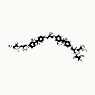 C=C(C)C(=O)OCC(O)COc1ccc(C(C)(C)c2ccc(OCC(O)COc3ccc(C(C)(C)c4ccc(OCC(COC(=O)C(=C)C)OC(=O)C(=C)C)cc4)cc3)cc2)cc1